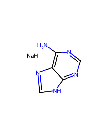 Nc1ncnc2[nH]cnc12.[NaH]